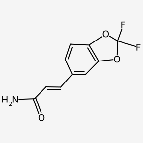 NC(=O)C=Cc1ccc2c(c1)OC(F)(F)O2